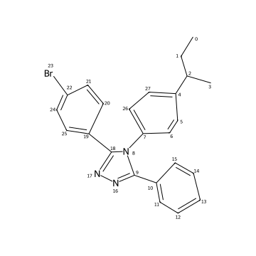 CCC(C)c1ccc(-n2c(-c3ccccc3)nnc2-c2ccc(Br)cc2)cc1